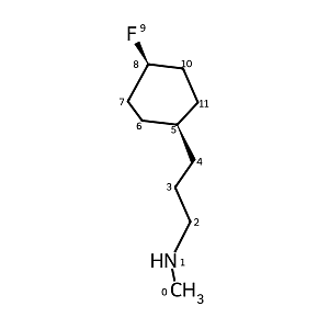 CNCCC[C@H]1CC[C@@H](F)CC1